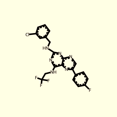 Fc1ccc(-c2cnc3nc(NCc4cccc(Cl)c4)nc(NCC(F)(F)F)c3n2)cc1